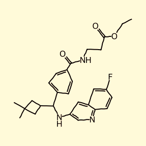 CCOC(=O)CCNC(=O)c1ccc(C(Nc2cnc3ccc(F)cc3c2)C2CC(C)(C)C2)cc1